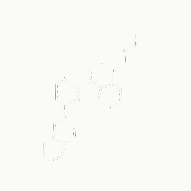 O=C(O)NCC1CCN(c2nccc(-c3ccc4ccccc4c3)n2)c2ccccc21